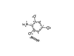 N#N.Nc1c(Cl)cc(Cl)cc1Cl